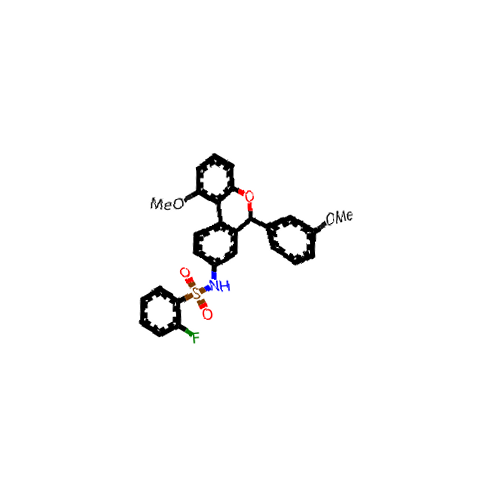 COc1cccc(C2Oc3cccc(OC)c3-c3ccc(NS(=O)(=O)c4ccccc4F)cc32)c1